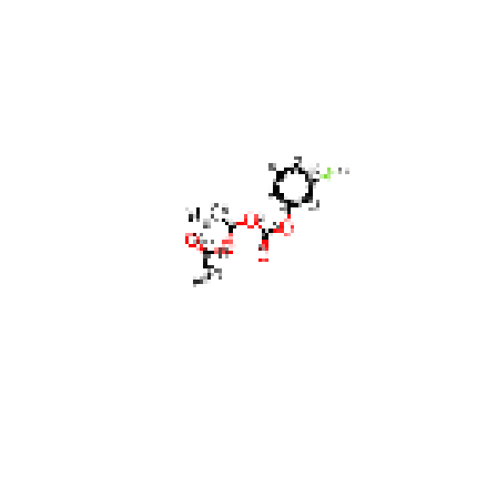 CC(OC(=O)Oc1cccc(F)c1)OC(=O)C(C)C